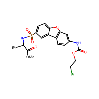 COC(=O)C(NS(=O)(=O)c1ccc2oc3cc(NC(=O)OCCBr)ccc3c2c1)C(C)C